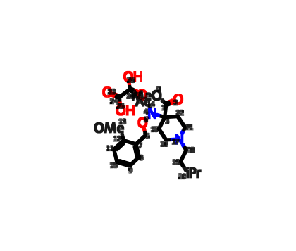 COC(=O)C1(N(OCc2ccccc2OC)C(C)=O)CCN(CCC(C)C)CC1.O=C(O)C(=O)O